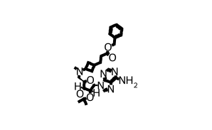 CN(C[C@H]1O[C@@H](n2cnc3c(N)ncnc32)[C@@H]2OC(C)(C)O[C@@H]21)C1CC(CCC(=O)OCc2ccccc2)C1